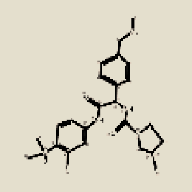 COCc1ccc([C@@H](NC(=O)N2CC[C@@H](F)C2)C(=O)Nc2ccc([Si](C)(C)C)c(F)c2)cc1